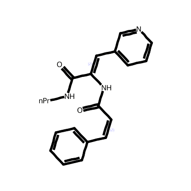 CCCNC(=O)/C(=C/c1cccnc1)NC(=O)/C=C\c1ccccc1